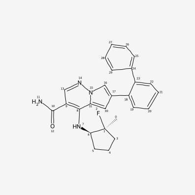 C[C@]1(F)CCC[C@H]1Nc1c(C(N)=O)cnn2cc(-c3ccccc3-c3ccccc3)cc12